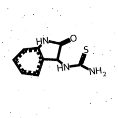 NC(=S)NC1C(=O)Nc2ccccc21